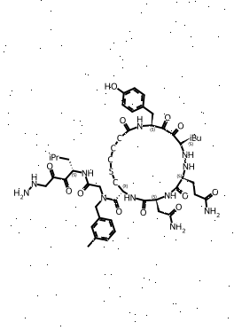 CC[C@H](C)C1NN[C@@H](CCC(N)=O)C(=O)N[C@@H](CC(N)=O)C(=O)N[C@H](C(=O)N(CC(=O)N[C@@H](CC(C)C)C(=O)C(=O)CNN)Cc2cccc(C)c2)CSCCCC(=O)N[C@@H](Cc2ccc(O)cc2)C(=O)C1=O